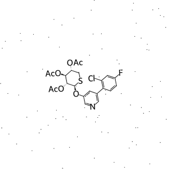 CC(=O)O[C@@H]1[C@@H](OC(C)=O)[C@H](OC(C)=O)CS[C@H]1Oc1cncc(-c2ccc(F)cc2Cl)c1